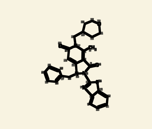 Cc1c2c(=O)n(-c3nc4ccccc4s3)n(Cc3ccccc3)c2cc(=O)n1CC1CCOCC1